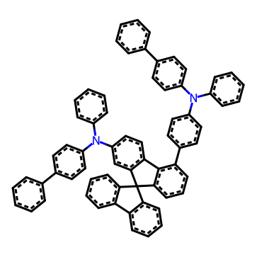 c1ccc(-c2ccc(N(c3ccccc3)c3ccc(-c4cccc5c4-c4ccc(N(c6ccccc6)c6ccc(-c7ccccc7)cc6)cc4C54c5ccccc5-c5ccccc54)cc3)cc2)cc1